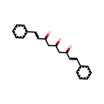 O=C(/C=C/c1ccccc1)CC(=O)CC(=O)/C=C/c1ccccc1